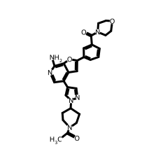 CC(=O)N1CCC(n2cc(-c3cnc(N)c4oc(-c5cccc(C(=O)N6CCOCC6)c5)cc34)cn2)CC1